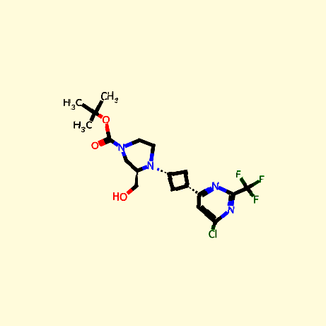 CC(C)(C)OC(=O)N1CCN([C@H]2C[C@@H](c3cc(Cl)nc(C(F)(F)F)n3)C2)[C@@H](CO)C1